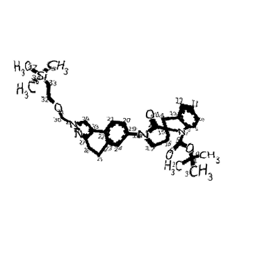 CC(C)(C)OC(=O)N1c2ccccc2CC12CCN(c1ccc3c(c1)CCc1nn(COCC[Si](C)(C)C)cc1-3)C2=O